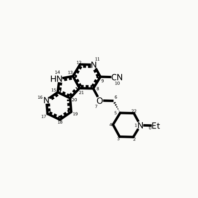 CCN1CCC[C@H](COc2c(C#N)ncc3[nH]c4ncccc4c23)C1